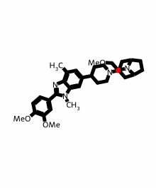 COCCN1C2CCC1CC(N1CCC(c3cc(C)c4nc(-c5ccc(OC)c(OC)c5)n(C)c4c3)CC1)C2